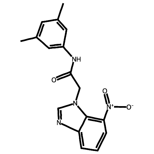 Cc1cc(C)cc(NC(=O)Cn2cnc3cccc([N+](=O)[O-])c32)c1